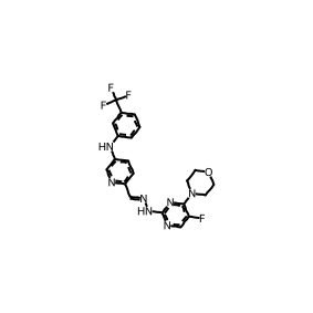 Fc1cnc(N/N=C/c2ccc(Nc3cccc(C(F)(F)F)c3)cn2)nc1N1CCOCC1